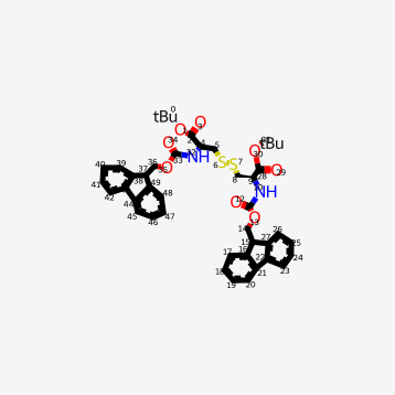 CC(C)(C)OC(=O)C(CSSC[C@H](NC(=O)OCC1c2ccccc2-c2ccccc21)C(=O)OC(C)(C)C)NC(=O)OCC1c2ccccc2-c2ccccc21